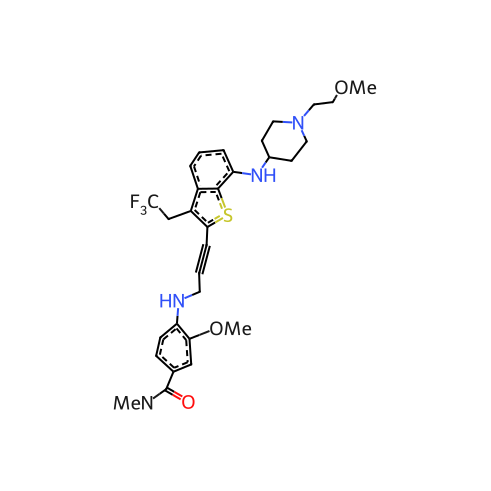 CNC(=O)c1ccc(NCC#Cc2sc3c(NC4CCN(CCOC)CC4)cccc3c2CC(F)(F)F)c(OC)c1